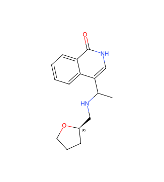 CC(NC[C@H]1CCCO1)c1c[nH]c(=O)c2ccccc12